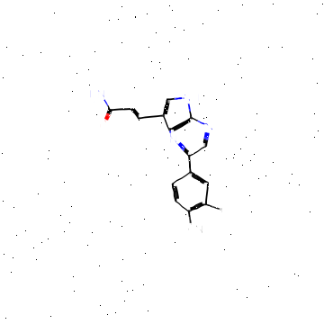 N#Cc1ccc(-c2cnc3[nH]cc(C=CC(N)=O)c3n2)cc1C(F)(F)F